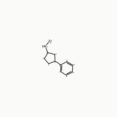 CCNC1CCC(c2ccccc2)C1